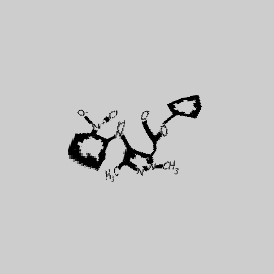 Cc1nn(C)c(C(=O)Oc2ccccc2)c1Nc1ccccc1[N+](=O)[O-]